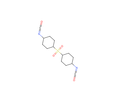 O=C=NC1CCC(S(=O)(=O)C2CCC(N=C=O)CC2)CC1